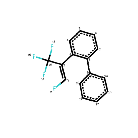 FC=C(c1ccccc1-c1ccccc1)C(F)(F)F